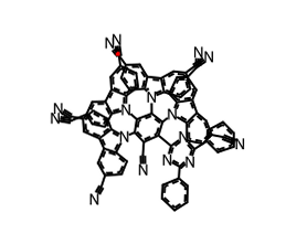 N#Cc1ccc2c(c1)c1cc(C#N)ccc1n2-c1c(C#N)c(-c2nc(-c3ccccc3)nc(-c3ccccc3)n2)c(-n2c3ccc(C#N)cc3c3cc(C#N)ccc32)c(-n2c3ccc(C#N)cc3c3cc(C#N)ccc32)c1-n1c2ccc(C#N)cc2c2cc(C#N)ccc21